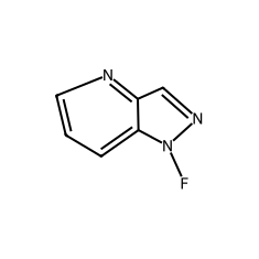 Fn1ncc2ncccc21